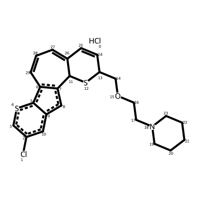 Cl.Clc1csc2c3c(cc-2c1)C1SC(COCCN2CCCCC2)C=CC1=CC=C3